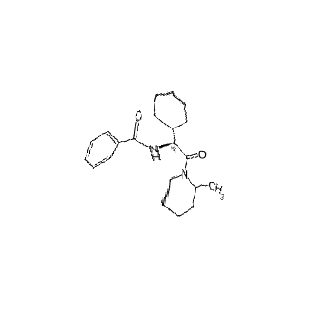 CC1CCCCN1C(=O)[C@@H](NC(=O)c1ccccc1)C1CCCCC1